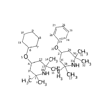 CC1(C)CC(OC2CCCCC2)CC(C)(C)N1.CC1(C)CC(Oc2ccccc2)CC(C)(C)N1